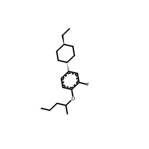 CCCC(C)Oc1ccc([C@H]2CC[C@H](CC)CC2)cc1F